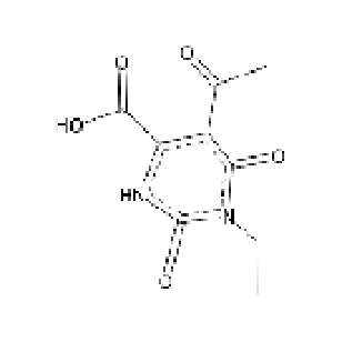 CCn1c(=O)[nH]c(C(=O)O)c(C(C)=O)c1=O